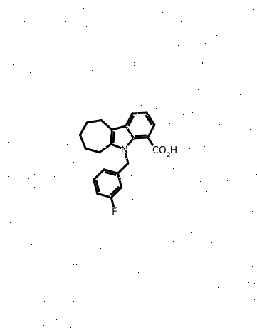 O=C(O)c1cccc2c3c(n(Cc4cccc(F)c4)c12)CCCCC3